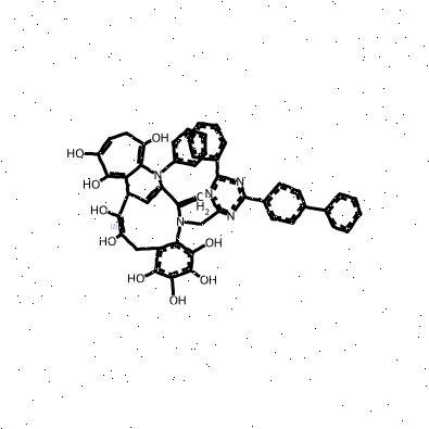 C=C1C2=CC(C3=C(O)C(O)=CCC(O)=C3N2c2ccccc2)/C(O)=C(/O)Cc2c(O)c(O)c(O)c(O)c2N1Cc1nc(-c2ccccc2)nc(-c2ccc(-c3ccccc3)cc2)n1